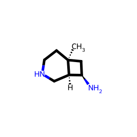 C[C@@]12CCNC[C@@H]1[C@H](N)C2